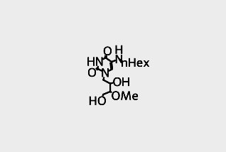 CCCCCCNc1cn(CC(O)C(CO)OC)c(=O)[nH]c1=O